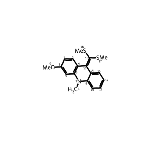 COc1ccc2c(c1)N(C)c1ccccc1C2=C(SC)SC